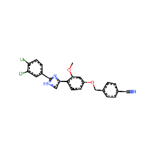 COc1cc(OCc2ccc(C#N)cc2)ccc1-c1c[nH]c(-c2ccc(Cl)c(Cl)c2)n1